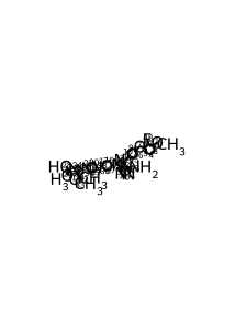 COc1cccc(Oc2ccc(-c3nn(C4CCC(N5CCN(C6CN(C(=O)O)C6C(C)(C)C)CC5)CC4)c4ncnc(N)c34)cc2)c1F